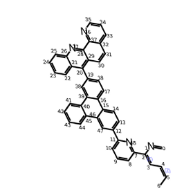 C=N/C(=C\C=C/C)c1cccc(-c2ccc3c4ccc(-c5c6ccccc6nc6c5ccc5cccnc56)cc4c4ccccc4c3c2)n1